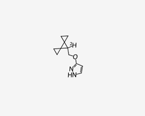 [2H]C1(COc2cc[nH]n2)C2(CC2)C12CC2